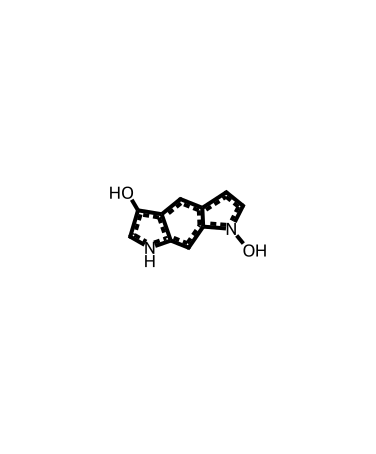 Oc1c[nH]c2cc3c(ccn3O)cc12